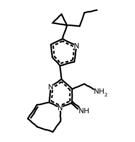 CCCC1(c2ccc(-c3nc4n(c(=N)c3CN)CCCC=C4)cn2)CC1